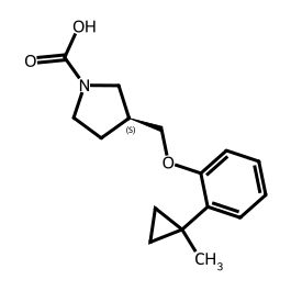 CC1(c2ccccc2OC[C@H]2CCN(C(=O)O)C2)CC1